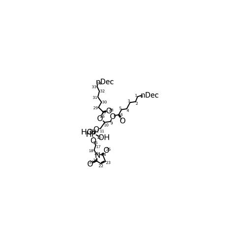 CCCCCCCCCCCCCCCC(=O)OCC(CO[PH](O)(O)OCCN1C(=O)C=CC1=O)OC(=O)CCCCCCCCCCCCCCC